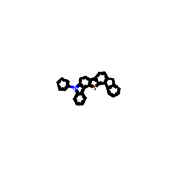 c1ccc(-n2c3ccccc3c3c4sc5c6c(ccc5c4ccc32)Cc2ccccc2-6)cc1